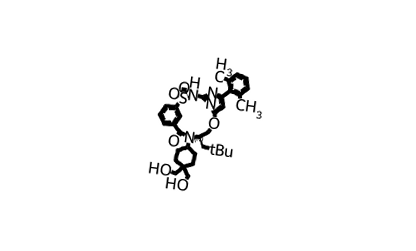 Cc1cccc(C)c1-c1cc2nc(n1)NS(=O)(=O)c1cccc(c1)C(=O)N(C1CCC(CO)(CO)CC1)[C@H](CC(C)(C)C)CO2